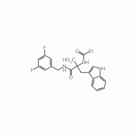 CCC(=O)NC(Cc1c[nH]c2ccccc12)(C(=O)O)C(=O)NCc1cc(F)cc(F)c1